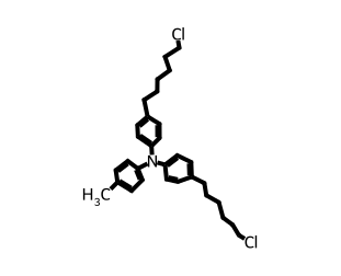 Cc1ccc(N(c2ccc(CCCCCCCl)cc2)c2ccc(CCCCCCCl)cc2)cc1